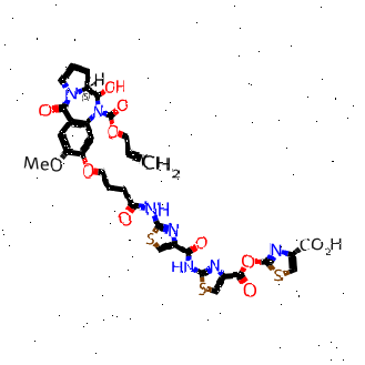 C=CCOC(=O)N1c2cc(OCCCC(=O)Nc3nc(C(=O)Nc4nc(C(=O)Oc5nc(C(=O)O)cs5)cs4)cs3)c(OC)cc2C(=O)N2CCC[C@H]2C1O